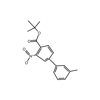 Cc1cccc(-c2ccc(C(=O)OC(C)(C)C)c([N+](=O)[O-])c2)c1